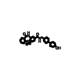 O=C(NCc1ccc(-c2ccc(O)cc2)cc1)c1ccc2c(c1)NC(=O)c1ccccc1S2(=O)=O